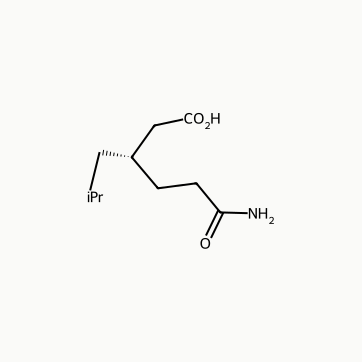 CC(C)C[C@@H](CCC(N)=O)CC(=O)O